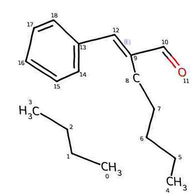 CCCC.CCCCC/C(C=O)=C\c1ccccc1